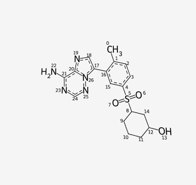 Cc1ccc(S(=O)(=O)C2CCCC(O)C2)cc1-c1cnc2c(N)ncnn12